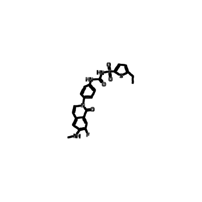 CCc1ccc(S(=O)(=O)NC(=O)Nc2ccc(-n3ccc4cc(NC)c(F)cc4c3=O)cc2)s1